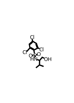 CC(C)C(CO)NS(=O)(=O)c1c(Cl)cc(Cl)cc1Cl